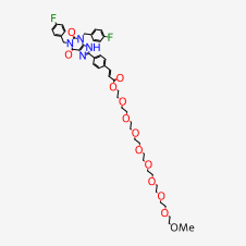 COCCOCCOCCOCCOCCOCCOCCOCCOCCOC(=O)/C=C/c1ccc(-c2nc3c(=O)n(Cc4ccc(F)cc4)c(=O)n(Cc4ccc(F)cc4)c3[nH]2)cc1